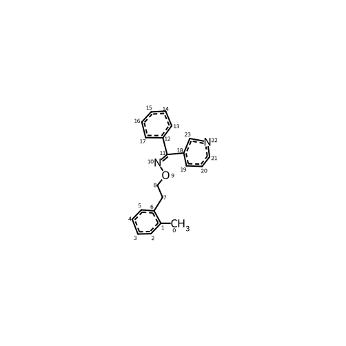 Cc1ccccc1CCON=C(c1ccccc1)c1cccnc1